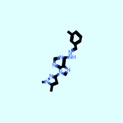 Cc1cccc(C=NNc2ncnc3c2ncn3-c2cc(C)n(C)n2)c1